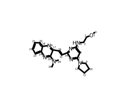 COCCNc1cc(N2CCCC2)nc(C=Cc2nc3ccccc3nc2N(C)C)n1